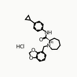 Cl.O=C(Nc1ccc(C2CC2)cc1)[C@H]1CCCCCN1Cc1cccc2c1OCO2